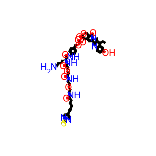 CCc1c2c(nc3ccc(O)cc13)-c1cc3c(c(=O)n1C2)COC(=O)[C@H]3OC(=O)OCc1ccc(NC(=O)[C@H](CCCCN)NC(=O)COCC(=O)NCCOCCNC(=O)CCCC#Cc2cnc(SC)nc2)cc1